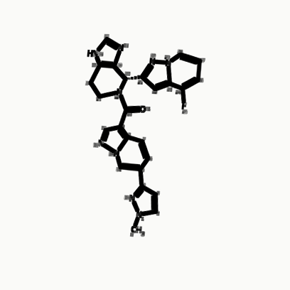 Cn1ccc(-c2ccc3c(C(=O)N4CCc5[nH]cnc5[C@@H]4c4cc5c(F)cccn5n4)cnn3c2)n1